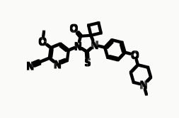 COc1cc(N2C(=O)C3(CCC3)N(c3ccc(OC4CCN(C)CC4)cc3)C2=S)cnc1C#N